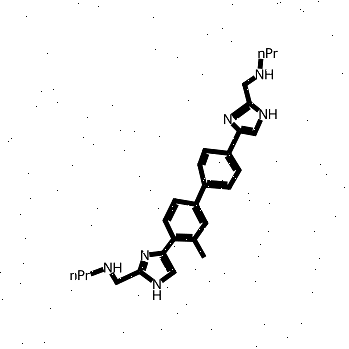 CCCNCc1nc(-c2ccc(-c3ccc(-c4c[nH]c(CNCCC)n4)c(C)c3)cc2)c[nH]1